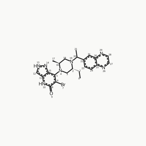 CC[C@@H]1CN(c2c(Br)c(=O)[nH]c3c[nH]nc23)[C@@H](C)CN1C(C)c1ccc2nccnc2c1